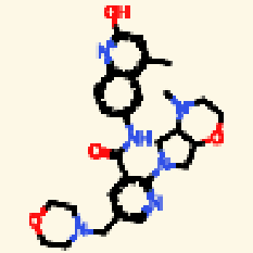 Cc1cc(O)nc2ccc(NC(=O)c3cc(CN4CCOCC4)cnc3N3CC4OCCN(C)C4C3)cc12